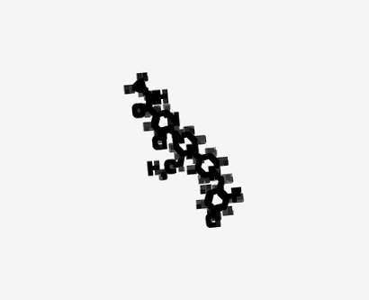 CC[C@H]1CN(c2ncc(C(=O)NC3CC3)cc2Cl)CCN1C1CCN(Cc2ccc(Cl)cc2F)CC1